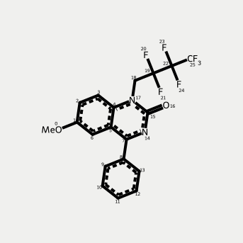 COc1ccc2c(c1)c(-c1ccccc1)nc(=O)n2CC(F)(F)C(F)(F)C(F)(F)F